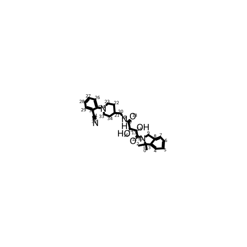 CC1(C)c2ccccc2CN1C(=O)[C@H](O)[C@@H](O)C(=O)NCC1CCN(c2ccccc2C#N)CC1